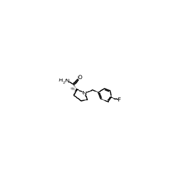 NC(=O)[C@H]1CCCN1Cc1ccc(F)cc1